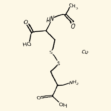 CC(=O)NC(CSSCC(N)C(=O)O)C(=O)O.[Cu]